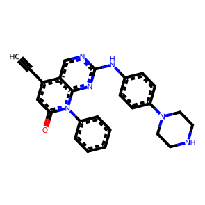 C#Cc1cc(=O)n(-c2ccccc2)c2nc(Nc3ccc(N4CCNCC4)cc3)ncc12